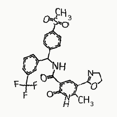 Cc1[nH]c(=O)c(C(=O)NC(c2ccc(S(C)(=O)=O)cc2)c2cccc(C(F)(F)F)c2)cc1C1=NCCO1